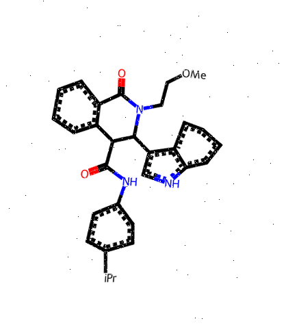 COCCN1C(=O)c2ccccc2C(C(=O)Nc2ccc(C(C)C)cc2)C1c1c[nH]c2ccccc12